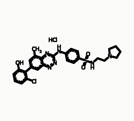 Cc1cc(-c2c(O)cccc2Cl)cc2nnc(Nc3ccc(S(=O)(=O)NCCN4CCCC4)cc3)nc12.Cl